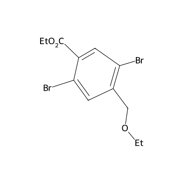 CCOCc1cc(Br)c(C(=O)OCC)cc1Br